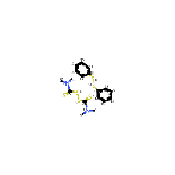 CN(C)C(=S)SSC(=S)N(C)C.c1ccc(SSc2ccccc2)cc1